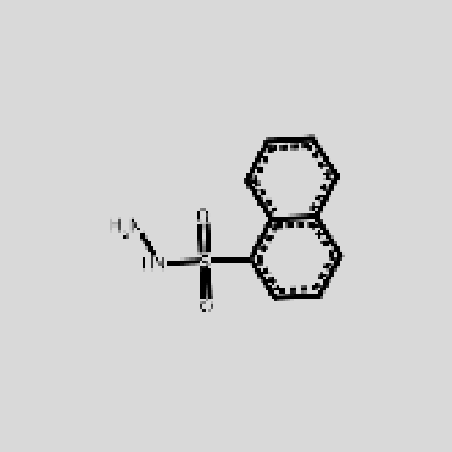 NNS(=O)(=O)c1cccc2ccccc12